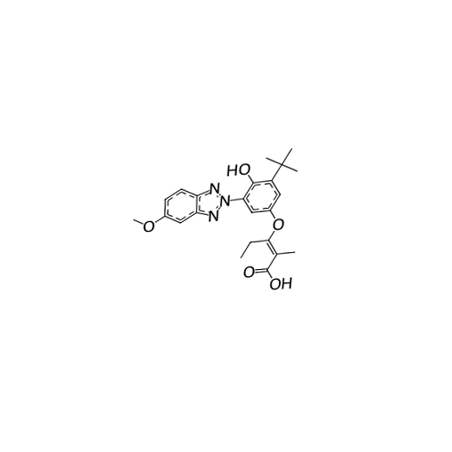 CC/C(Oc1cc(-n2nc3ccc(OC)cc3n2)c(O)c(C(C)(C)C)c1)=C(/C)C(=O)O